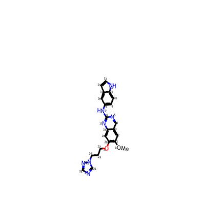 COc1cc2cnc(Nc3ccc4[nH]ccc4c3)nc2cc1OCCCn1cncn1